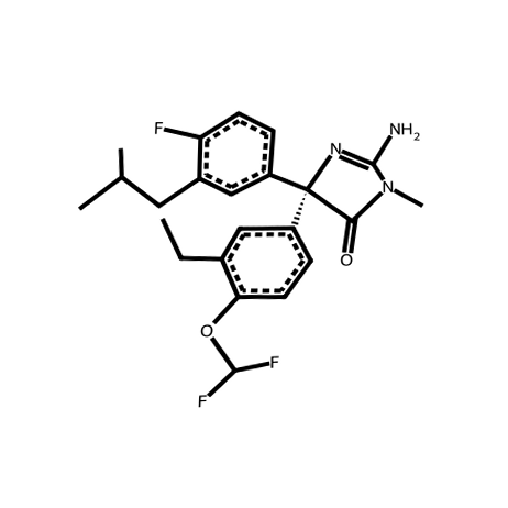 CCc1cc([C@]2(c3ccc(F)c(CC(C)C)c3)N=C(N)N(C)C2=O)ccc1OC(F)F